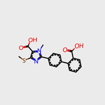 CSc1nc(-c2ccc(-c3ccccc3C(=O)O)cc2)n(C)c1C(=O)O